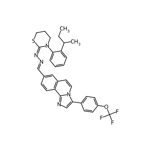 CCC(C)c1ccccc1N1CCCSC1=NN=Cc1ccc2c(ccn3c(-c4ccc(OC(F)(F)F)cc4)cnc23)c1